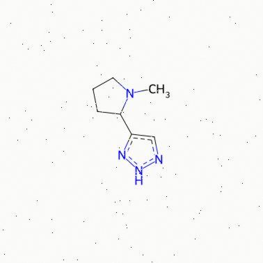 CN1CCCC1c1cn[nH]n1